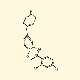 C[C@@H](Nc1cc(C2=CCNCC2)ccc1Cl)c1ccc(Cl)cc1Cl